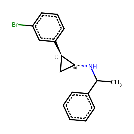 CC(N[C@@H]1C[C@H]1c1cccc(Br)c1)c1ccccc1